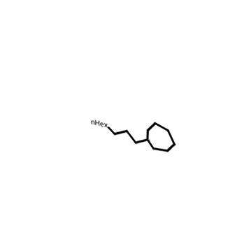 CCCCCCCCC[C]1CCCCCC1